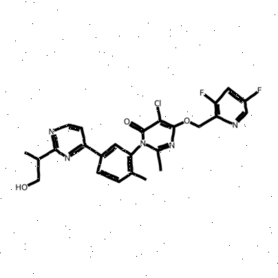 Cc1ccc(-c2ccnc(C(C)CO)n2)cc1-n1c(C)nc(OCc2ncc(F)cc2F)c(Cl)c1=O